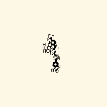 CC(C)(C)N(C(=O)O)[C@H](CCc1nnc(-c2ccc([N+](=O)[O-])c(F)c2)s1)Cc1ccc(C(F)(F)F)nc1